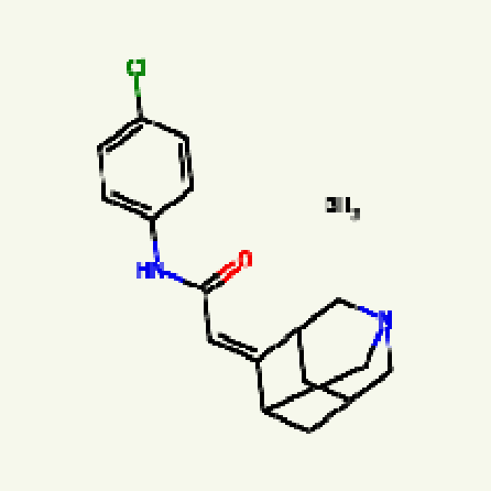 B.O=C(C=C1C2CC3CC1CN(C3)C2)Nc1ccc(Cl)cc1